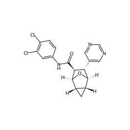 O=C(Nc1ccc(Cl)c(Cl)c1)[C@@H]1[C@H]2O[C@H]([C@@H]3C[C@@H]32)[C@H]1c1cncnc1